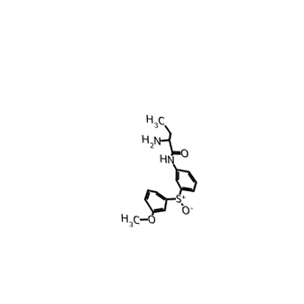 CCC(N)C(=O)Nc1cccc([S+]([O-])c2cccc(OC)c2)c1